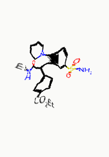 CCNC(=O)C(c1ccc(C(=O)OCC)cc1)c1cc(S(N)(=O)=O)ccc1N1CCCCC1